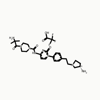 CC(C)(N)C(=O)N1CCN(C(=O)Nc2ccn(-c3ccc(CCN4CC[C@H](N)C4)cc3)c(=O)n2)CC1.O=C(O)C(F)(F)F